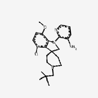 COc1ccc(Cl)c2c1N(c1ncccc1N)CC21CCN(CC(C)(C)C)CC1